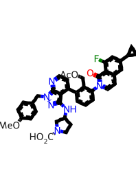 COc1ccc(Cn2nc(NC3CCN(C(=O)O)C3)c3c(-c4cccc(-n5ccc6cc(C7CC7)cc(F)c6c5=O)c4COC(C)=O)ccnc32)cc1